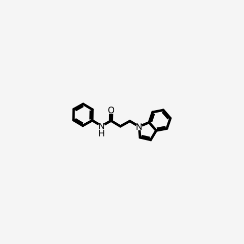 O=C(CCn1ccc2ccccc21)Nc1ccccc1